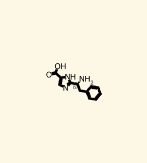 N[C@@H](Cc1ccccc1)c1ncc(C(=O)O)[nH]1